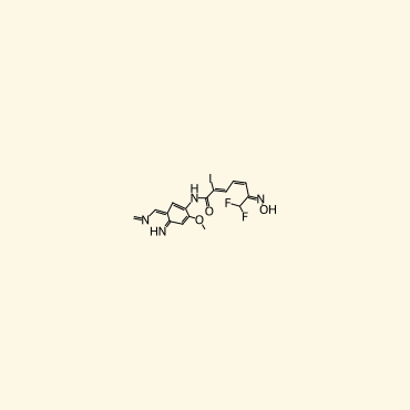 C=N/C=C1/C=C(NC(=O)/C(I)=C/C=C\C(=N\O)C(F)F)C(OC)=CC1=N